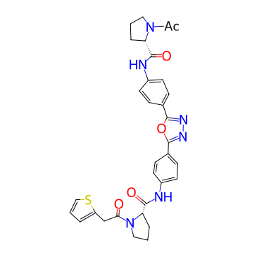 CC(=O)N1CCC[C@H]1C(=O)Nc1ccc(-c2nnc(-c3ccc(NC(=O)[C@@H]4CCCN4C(=O)Cc4cccs4)cc3)o2)cc1